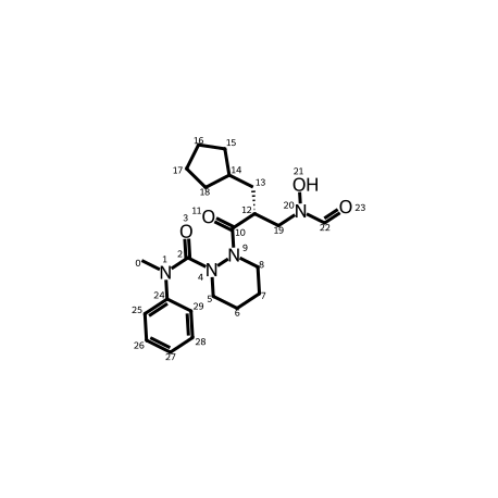 CN(C(=O)N1CCCCN1C(=O)[C@H](CC1CCCC1)CN(O)C=O)c1ccccc1